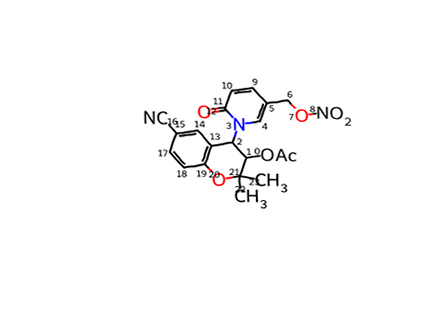 CC(=O)OC1C(n2cc(CO[N+](=O)[O-])ccc2=O)c2cc(C#N)ccc2OC1(C)C